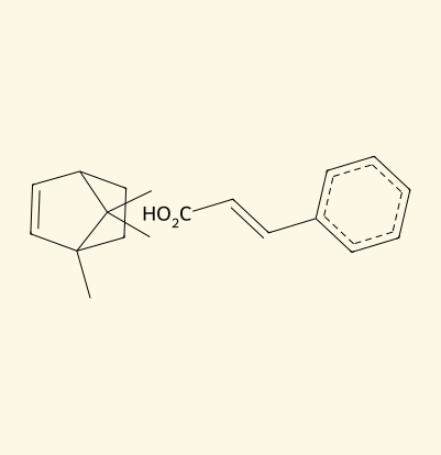 CC12C=CC(CC1)C2(C)C.O=C(O)C=Cc1ccccc1